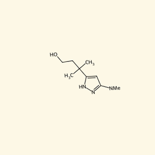 CNc1cc(C(C)(C)CCO)[nH]n1